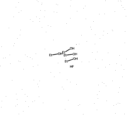 CCO.CCO.CCO.CCO.F